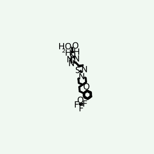 [2H]C([2H])(C(=O)O)n1nnc(-c2cnc(N3CCC4(CCc5c(OC(F)(F)F)cccc5O4)CC3)s2)n1